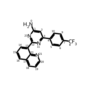 Nc1cc(-c2ccc(C(F)(F)F)cc2)nc(-c2cccc3cccnc23)n1